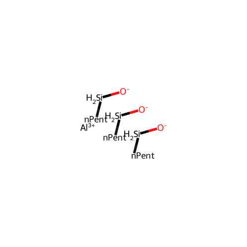 CCCCC[SiH2][O-].CCCCC[SiH2][O-].CCCCC[SiH2][O-].[Al+3]